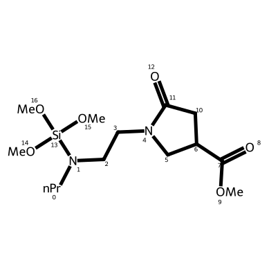 CCCN(CCN1CC(C(=O)OC)CC1=O)[Si](OC)(OC)OC